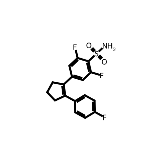 NS(=O)(=O)c1c(F)cc(C2=C(c3ccc(F)cc3)CCC2)cc1F